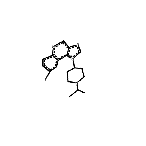 CC(C)N1CCC(n2cnc3cnc4ccc(I)cc4c32)CC1